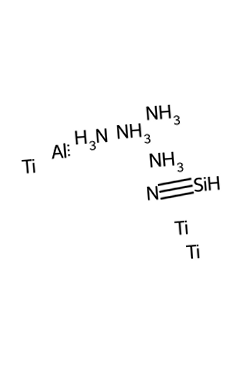 N.N.N.N.N#[SiH].[Al].[Ti].[Ti].[Ti]